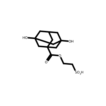 O=C(OCCS(=O)(=O)O)C12CC3CC(O)(CC(O)(C3)C1)C2